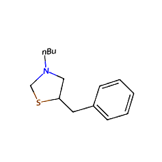 CCCCN1CSC(Cc2ccccc2)C1